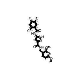 COc1ccc(CNC(=O)c2cc(NC(=O)c3cc(F)c(F)cc3Cl)[nH]n2)c(OC)n1